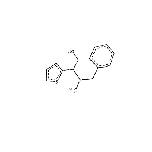 CN(Cc1ccccc1)C(CO)c1cccs1